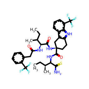 CCC(C)[C@H](NC(=O)Cc1ccccc1C(F)(F)F)C(=O)N[C@]1(C(=O)NC(C(N)=S)[C@@H](C)CC)CCc2[nH]c3c(C(F)(F)F)cccc3c2C1